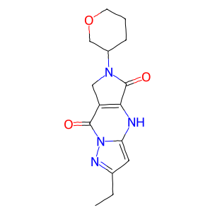 CCc1cc2[nH]c3c(c(=O)n2n1)CN(C1CCCOC1)C3=O